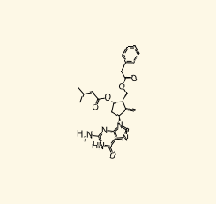 C=C1[C@H](COC(=O)Cc2ccccc2)[C@@H](OC(=O)CC(C)C)C[C@@H]1n1cnc2c(=O)[nH]c(N)nc21